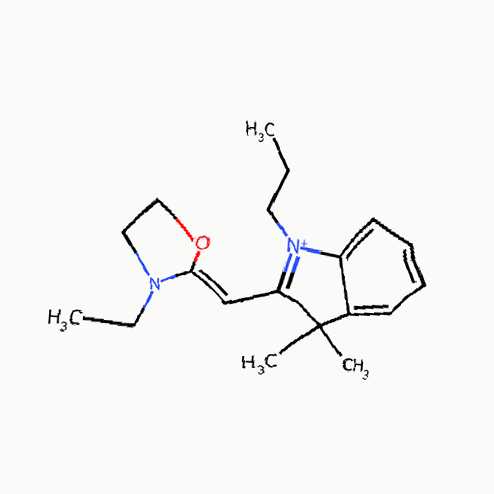 CCC[N+]1=C(/C=C2\OCCN2CC)C(C)(C)c2ccccc21